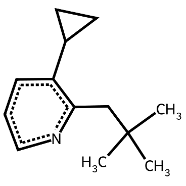 CC(C)(C)Cc1ncccc1C1CC1